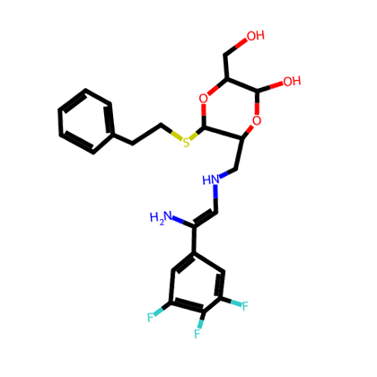 N/C(=C\NCC1OC(O)C(CO)OC1SCCc1ccccc1)c1cc(F)c(F)c(F)c1